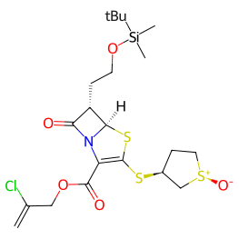 C=C(Cl)COC(=O)C1=C(S[C@H]2CC[S@@+]([O-])C2)S[C@@H]2[C@@H](CCO[Si](C)(C)C(C)(C)C)C(=O)N12